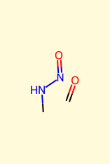 C=O.CNN=O